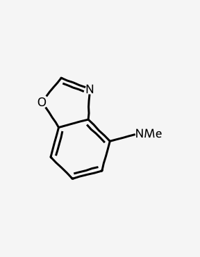 CNc1cccc2ocnc12